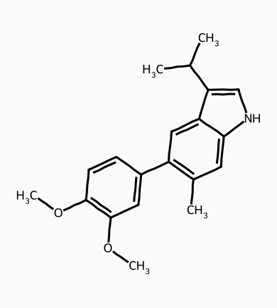 COc1ccc(-c2cc3c(C(C)C)c[nH]c3cc2C)cc1OC